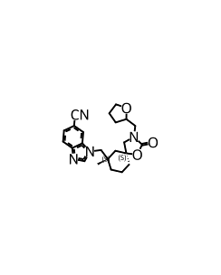 C[C@]1(Cn2cnc3ccc(C#N)cc32)CCC[C@@]2(CN(CC3CCCO3)C(=O)O2)C1